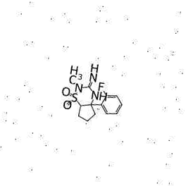 CN1C(=N)NC2(c3ccccc3F)CCCC2S1(=O)=O